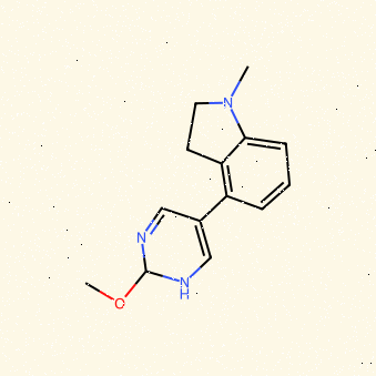 COC1N=CC(c2cccc3c2CCN3C)=CN1